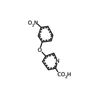 O=C(O)c1ccc(Oc2cccc([N+](=O)[O-])c2)cn1